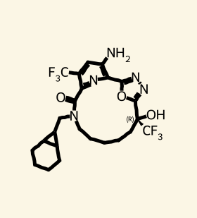 Nc1cc(C(F)(F)F)c2nc1-c1nnc(o1)[C@@](O)(C(F)(F)F)CCCCCN(CC1C3CCCCC31)C2=O